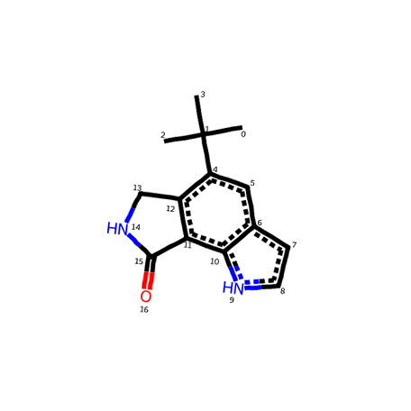 CC(C)(C)c1cc2cc[nH]c2c2c1CNC2=O